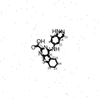 O=C(O)c1nc(Nc2ccc3[nH]ncc3c2)c2c3c(sc2n1)CCCC3